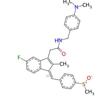 CC1=C(CC(=O)NCc2ccc(N(C)C)cc2)c2cc(F)ccc2/C1=C/c1ccc([S+](C)[O-])cc1